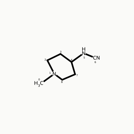 CN1CCC(NC#N)CC1